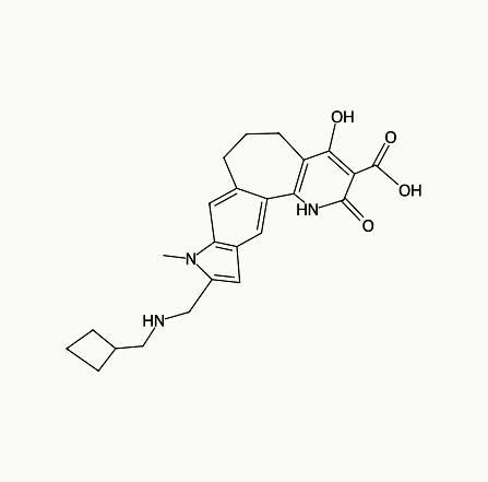 Cn1c(CNCC2CCC2)cc2cc3c(cc21)CCCc1c-3[nH]c(=O)c(C(=O)O)c1O